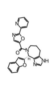 O=C(c1cnc(-c2ccccn2)o1)N1CCCc2[nH]cnc2[C@@H]1c1cc2ccccc2o1